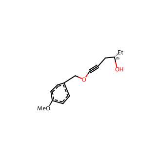 CC[C@H](O)CC#COCc1ccc(OC)cc1